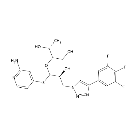 C[C@@H](O)C(CO)OC(Sc1ccnc(N)c1)[C@@H](O)Cn1cc(-c2cc(F)c(F)c(F)c2)nn1